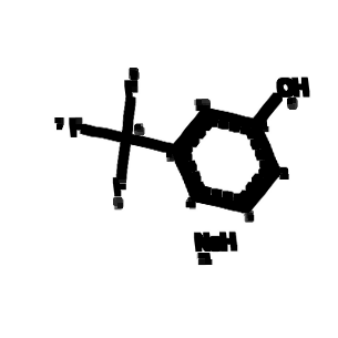 Oc1cccc(C(F)(F)F)c1.[NaH]